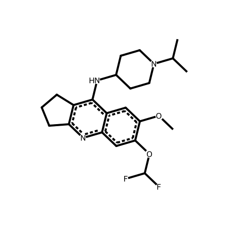 COc1cc2c(NC3CCN(C(C)C)CC3)c3c(nc2cc1OC(F)F)CCC3